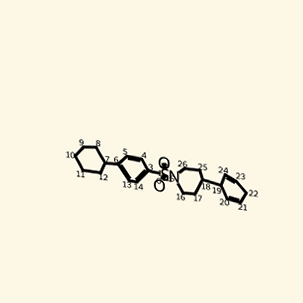 O=S(=O)(c1ccc(C2CCCCC2)cc1)N1CCC(C2C=CCC=C2)CC1